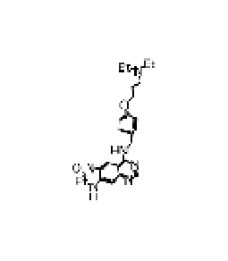 CCNc1cc2ncnc(NCc3ccc(OCCCN(CC)CC)cc3)c2cc1[N+](=O)[O-]